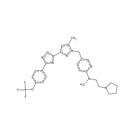 Cc1cc(-c2nc(-c3ccc(OC(F)(F)F)cc3)no2)nn1Cc1ccc(N(C)CCN2CCCC2)nc1